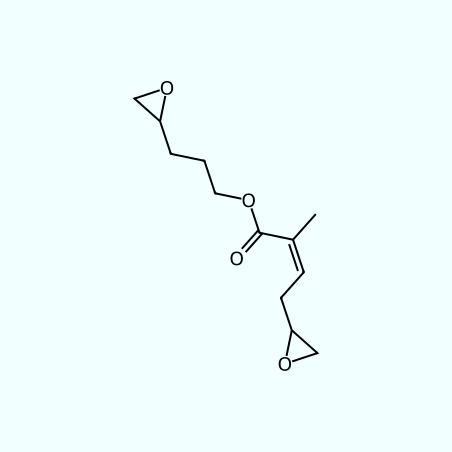 CC(=CCC1CO1)C(=O)OCCCC1CO1